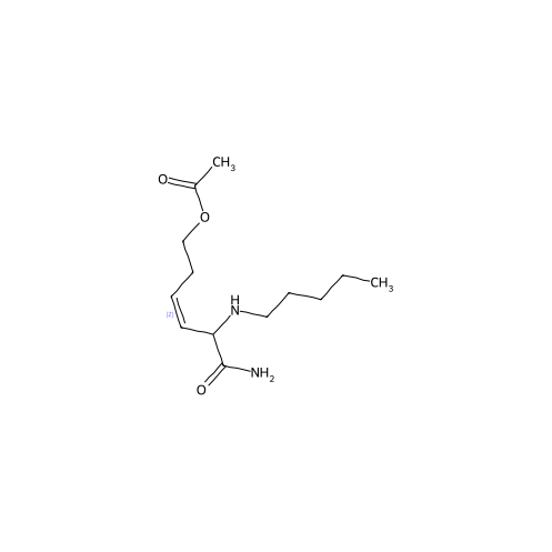 CCCCCNC(/C=C\CCOC(C)=O)C(N)=O